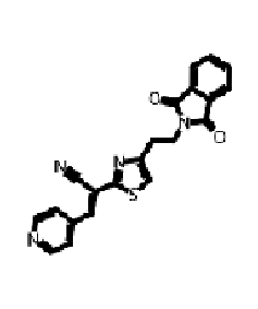 N#C/C(=C\c1ccncc1)c1nc(CCN2C(=O)c3ccccc3C2=O)cs1